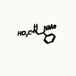 CN[C@H](CNC(=O)O)c1ccccc1